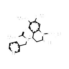 CCOC(=O)N1c2cc(OC)c(OC)cc2[C@H](N(Cc2cccnc2)C(=O)OC)C[C@@H]1C